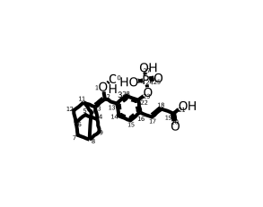 COC(=C1C2CC3CC(C2)CC1C3)c1ccc(/C=C/C(=O)O)c(OP(=O)(O)O)c1